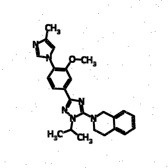 COc1cc(-c2nc(N3CCc4ccccc4C3)n(C(C)C)n2)ccc1-n1cnc(C)c1